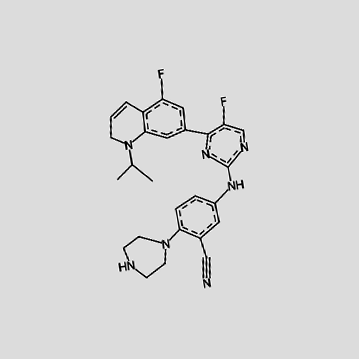 CC(C)N1CC=Cc2c(F)cc(-c3nc(Nc4ccc(N5CCNCC5)c(C#N)c4)ncc3F)cc21